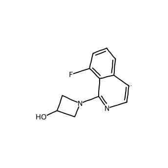 OC1CN(c2nc[c]c3cccc(F)c23)C1